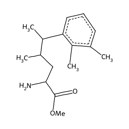 COC(=O)C(N)CC(C)C(C)c1cccc(C)c1C